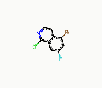 Fc1cc(Br)c2ccnc(Cl)c2c1